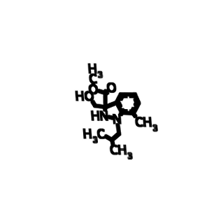 COC(=O)C1(CO)NN(CC(C)C)c2c(C)cccc21